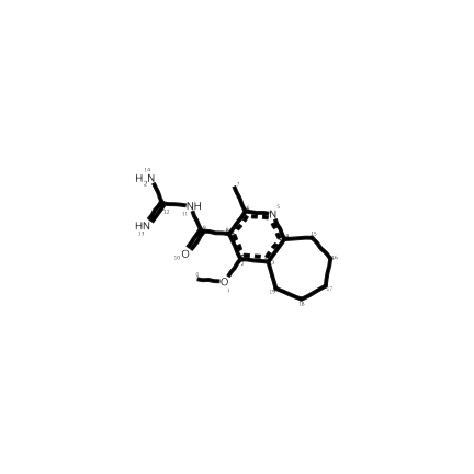 COc1c2c(nc(C)c1C(=O)NC(=N)N)CCCCC2